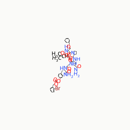 CC(C)(C)OC(=O)N[C@@H](COCc1ccccc1)C(=O)N1CCC[C@H]1C(=O)N[C@@H](CCC(N)=O)C(=O)NCC(=O)N[C@@H](Cc1ccc(OC(=O)OCc2ccccc2Br)cc1)C(N)=O